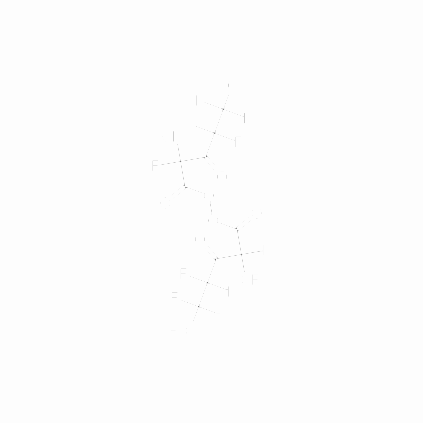 O=C(OOC(=O)C(F)(C(=O)C(F)(F)C(F)(F)C(F)(F)F)C(F)(F)F)C(F)(C(=O)C(F)(F)C(F)(F)C(F)(F)F)C(F)(F)F